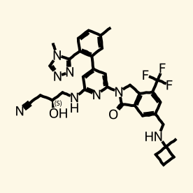 Cc1ccc(-c2nncn2C)c(-c2cc(NC[C@@H](O)CC#N)nc(N3Cc4c(cc(CNC5(C)CCC5)cc4C(F)(F)F)C3=O)c2)c1